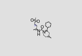 C[C@H]1CCN(C(=O)N[C@@H](C)/C=C/S(C)(=O)=O)[C@@H](c2ccccc2)C1